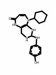 O=C1C=CN(C2CCCCC2)C2=C(CNC(Nc3ccc(O)cc3)N2)N1